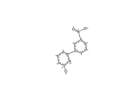 O=[N+]([O-])c1cccc(-c2cccc(Cl)n2)c1